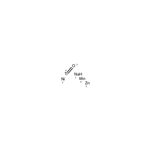 [Mn].[NaH].[Ni].[O]=[Ti].[Zn]